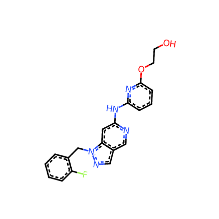 OCCOc1cccc(Nc2cc3c(cn2)cnn3Cc2ccccc2F)n1